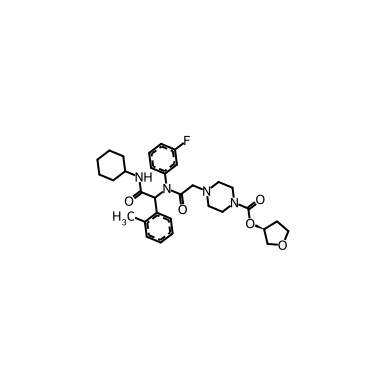 Cc1ccccc1C(C(=O)NC1CCCCC1)N(C(=O)CN1CCN(C(=O)O[C@H]2CCOC2)CC1)c1cccc(F)c1